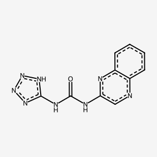 O=C(Nc1cnc2ccccc2n1)Nc1nnn[nH]1